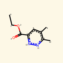 CCOC(=O)c1cc(C)c(C)nn1